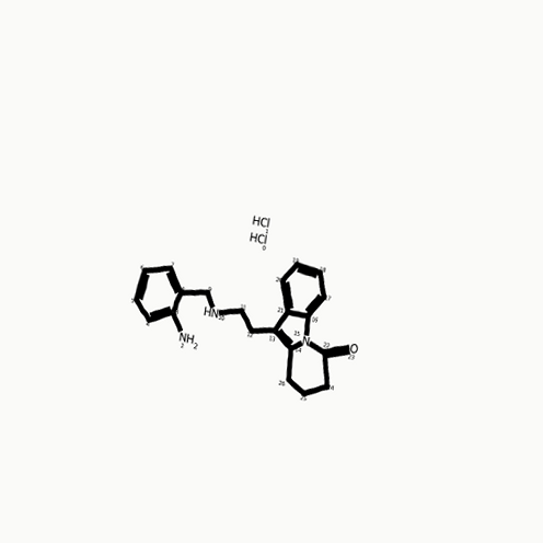 Cl.Cl.Nc1ccccc1CNCCc1c2n(c3ccccc13)C(=O)CCC2